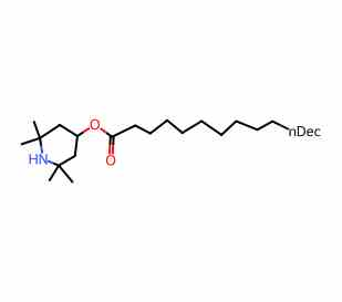 CCCCCCCCCCCCCCCCCCCC(=O)OC1CC(C)(C)NC(C)(C)C1